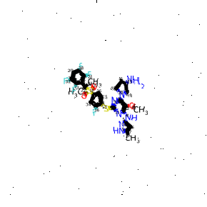 COc1c(Nc2cc(C)[nH]n2)nc(Sc2ccc(S(=O)(=O)C(C)(C)c3c(F)c(F)cc(F)c3F)cc2F)nc1N1CCC(N)C1